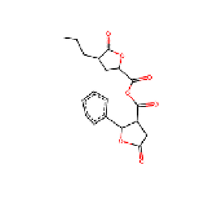 CCCC1CC(C(=O)OC(=O)C2CC(=O)OC2c2ccccc2)OC1=O